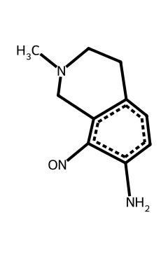 CN1CCc2ccc(N)c(N=O)c2C1